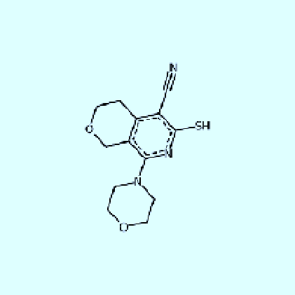 N#Cc1c(S)nc(N2CCOCC2)c2c1CCOC2